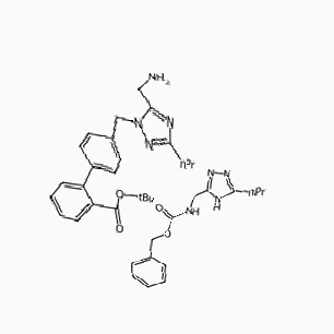 CCCc1nc(CN)n(Cc2ccc(-c3ccccc3C(=O)OC(C)(C)C)cc2)n1.CCCc1nnc(CNC(=O)OCc2ccccc2)[nH]1